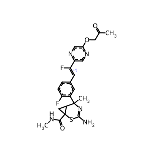 CNC(=O)C12CC1C(C)(c1cc(/C=C(\F)c3cnc(OCC(C)=O)cn3)ccc1F)N=C(N)S2